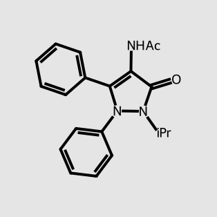 CC(=O)Nc1c(-c2ccccc2)n(-c2ccccc2)n(C(C)C)c1=O